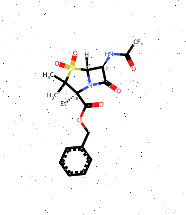 CC[C@@]1(C(=O)OCc2ccccc2)N2C(=O)[C@H](NC(=O)C(F)(F)F)[C@H]2S(=O)(=O)C1(C)C